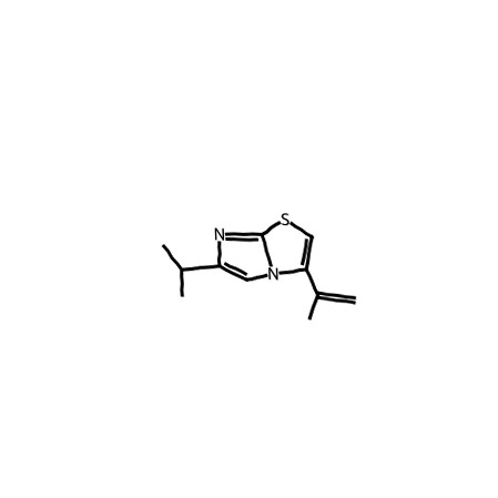 C=C(C)c1csc2nc(C(C)C)cn12